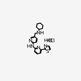 Cl.Cl.c1cc(Nc2ccc(CNC3CCCCC3)cn2)nc(-c2nccs2)c1